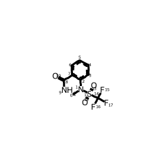 CN(c1ccccc1C(N)=O)S(=O)(=O)C(F)(F)F